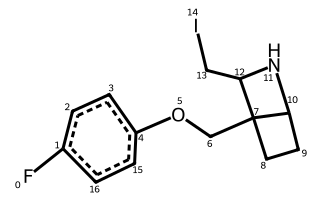 Fc1ccc(OCC23CCC2NC3CI)cc1